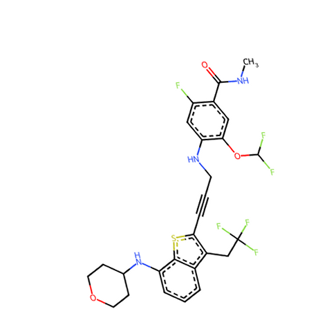 CNC(=O)c1cc(OC(F)F)c(NCC#Cc2sc3c(NC4CCOCC4)cccc3c2CC(F)(F)F)cc1F